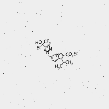 C=C(C)c1c(C(=O)OCC)cn2cc(Cn3cc(C(O)(CC)C(F)(F)F)nn3)ccc12